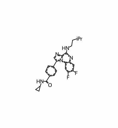 CC(C)CCNc1nc2cc(F)c(F)cc2n2c(-c3ccc(C(=O)NC4CC4)cc3)cnc12